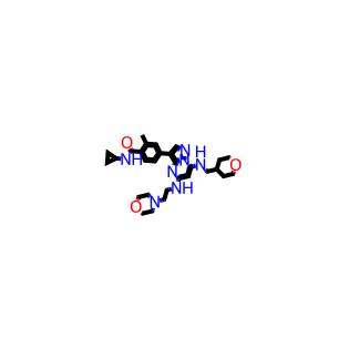 Cc1cc(-c2cnn3c(NCC4CCOCC4)cc(NCCN4CCOCC4)nc23)ccc1C(=O)NC1CC1